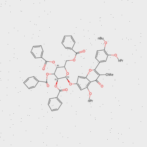 CCCCOc1ccc(-c2oc3cc(O[C@@H]4OC(COC(=O)c5ccccc5)[C@@H](OC(=O)c5ccccc5)C(OC(=O)c5ccccc5)[C@@H]4OC(=O)c4ccccc4)cc(OCCC)c3c(=O)c2OC)cc1OCCC